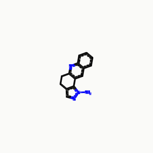 Nn1ncc2c1-c1cc3ccccc3nc1CC2